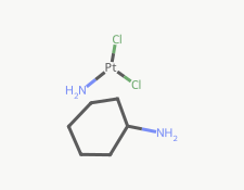 NC1CCCCC1.[NH2][Pt]([Cl])[Cl]